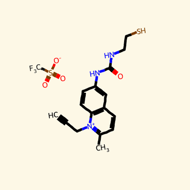 C#CC[n+]1c(C)ccc2cc(NC(=O)NCCS)ccc21.O=S(=O)([O-])C(F)(F)F